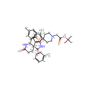 CC(C)(C)OC(=O)CN1CCC(Oc2ccc(I)cc2[C@@H]2NC(=O)C[C@@H](C3C=CC=C(Cl)C3)[C@]23C(=O)Nc2cc(Cl)ccc23)CC1